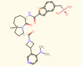 CN(C)c1ccncc1C1CN(C(=O)[C@@H]2CC[C@@H]3CCC[C@H](NC(=O)c4cc5cc(CP(=O)(O)O)ccc5s4)C(=O)N32)C1